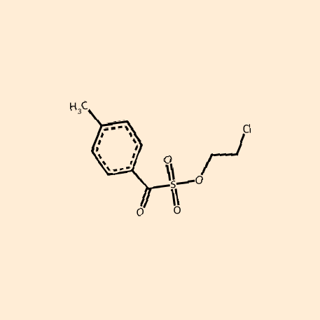 Cc1ccc(C(=O)S(=O)(=O)OCCCl)cc1